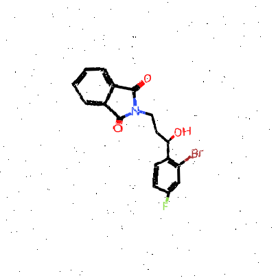 O=C1c2ccccc2C(=O)N1CCC(O)c1ccc(F)cc1Br